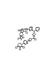 C[C@@]12Cc3[nH]nc(C(=O)Nc4cnn(C(c5ccccc5)C5CN(C(=O)C6CN(c7ccc(C8CCC(=O)NC8=O)cn7)C6)C5)c4)c3C[C@@H]1C2(F)F